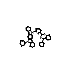 c1ccc(-c2nc(-c3cccc(-n4c5ccccc5c5cc6c(cc54)c4ccccc4n6-c4ccccc4)n3)nc3ccccc23)cc1